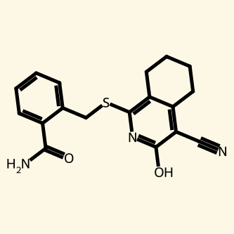 N#Cc1c(O)nc(SCc2ccccc2C(N)=O)c2c1CCCC2